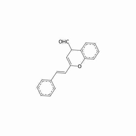 O=CC1C=C(C=Cc2ccccc2)Oc2ccccc21